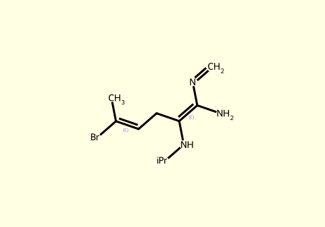 C=N/C(N)=C(\C/C=C(\C)Br)NC(C)C